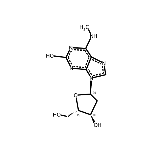 CNc1nc(O)nc2c1ncn2[C@H]1C[C@@H](O)[C@H](CO)O1